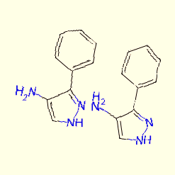 Nc1c[nH]nc1-c1ccccc1.Nc1c[nH]nc1-c1ccccc1